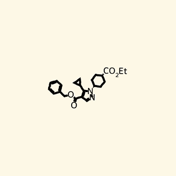 CCOC(=O)[C@H]1CC[C@H](n2ncc(C(=O)OCc3ccccc3)c2C2CC2)CC1